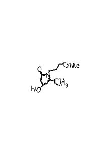 COCCCn1c(C)cc(O)cc1=O